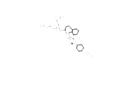 O=S(=O)(Nc1cccc2ccc(CN(CCO)CCO)nc12)c1ccc(C(F)(F)F)cc1